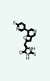 O=C1NC(=S)N/C1=C\c1cc2cncc(-c3ccc(F)nc3)c2o1